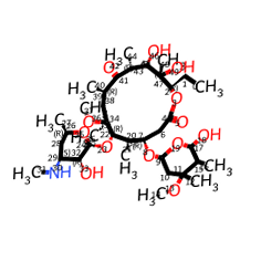 CC[C@H]1OC(=O)C[C@@H](OC2CC(C)(OC)C(C)C(O)O2)[C@H](C)[C@@H](O[C@@H]2O[C@H](C)C[C@H](NC)[C@H]2O)[C@@](C)(OC)C[C@@H](C)C(=O)[C@H](C)[C@@H](O)[C@]1(C)O